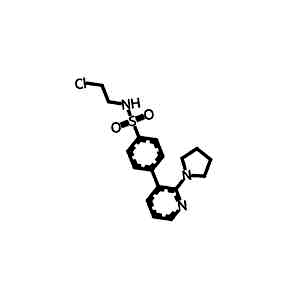 O=S(=O)(NCCCl)c1ccc(-c2cccnc2N2CCCC2)cc1